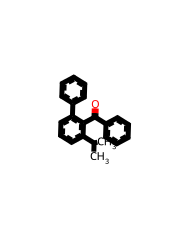 CC(C)c1cccc(-c2ccccc2)c1C(=O)c1ccccc1